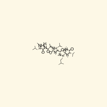 CNC(=O)[C@H](C(C)C)N(C)C(=O)[C@H](CCC(C)C)N(C)C(=O)[C@@H](CC(C)C)N(C)C(=O)N[C@H](C)C(=O)NC(=O)[C@H](CC(C)C)NC